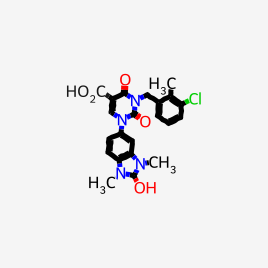 Cc1c(Cl)cccc1Cn1c(=O)c(C(=O)O)cn(-c2ccc3c(c2)N(C)C(O)N3C)c1=O